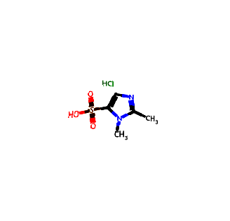 Cc1ncc(S(=O)(=O)O)n1C.Cl